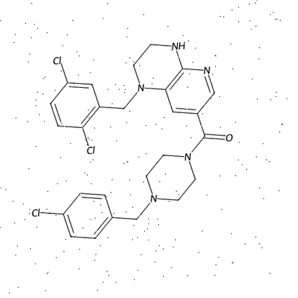 O=C(c1cnc2c(c1)N(Cc1cc(Cl)ccc1Cl)CCN2)N1CCN(Cc2ccc(Cl)cc2)CC1